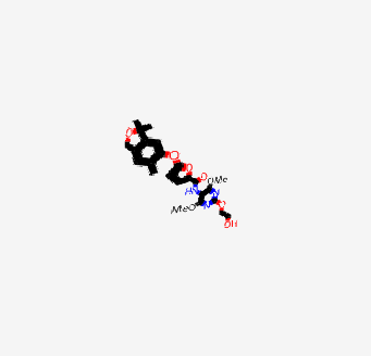 COc1nc(OCCO)nc(OC)c1NC(=O)c1ccc(Oc2cc3c(cc2C)COC3(C)C)o1